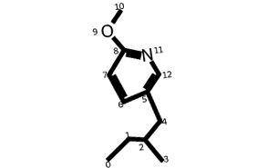 CCC(C)Cc1ccc(OC)nc1